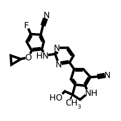 C[C@]1(CO)CNc2c(C#N)cc(-c3ccnc(Nc4cc(C#N)c(F)cc4OC4CC4)n3)cc21